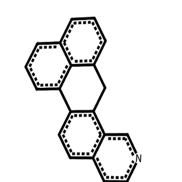 c1cc2c3c(cccc3c1)-c1ccc3ccncc3c1C2